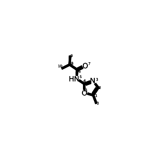 Cc1cnc(NC(=O)C(C)C)o1